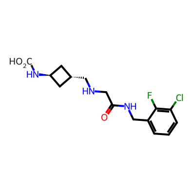 O=C(CNC[C@H]1C[C@H](NC(=O)O)C1)NCc1cccc(Cl)c1F